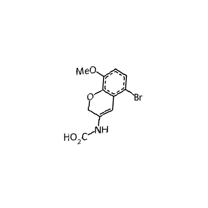 COc1ccc(Br)c2c1OCC(NC(=O)O)=C2